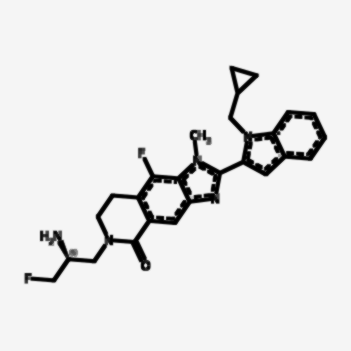 Cn1c(-c2cc3ccccc3n2CC2CC2)nc2cc3c(c(F)c21)CCN(C[C@H](N)CF)C3=O